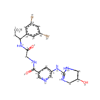 O=C(O)CC(NC(=O)CNC(=O)c1cncc(NC2=NCC(O)CN2)c1)c1cc(Br)cc(Br)c1